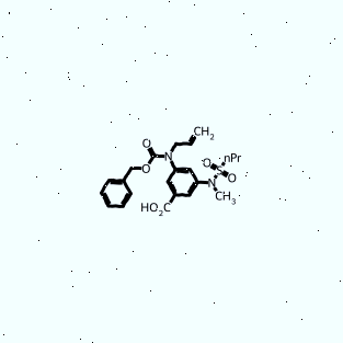 C=CCN(C(=O)OCc1ccccc1)c1cc(C(=O)O)cc(N(C)S(=O)(=O)CCC)c1